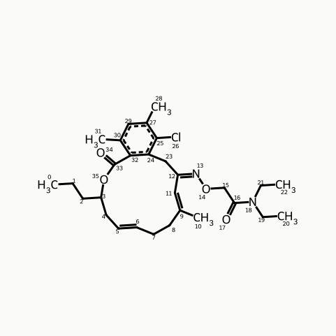 CCCC1C/C=C/CC/C(C)=C/C(=N\OCC(=O)N(CC)CC)Cc2c(Cl)c(C)cc(C)c2C(=O)O1